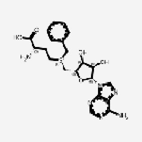 Nc1ncnc2c1ncn2[C@@H]1O[C@H](C[S@@+](CC[C@H](N)C(=O)O)Cc2ccccc2)[C@@H](O)[C@H]1O